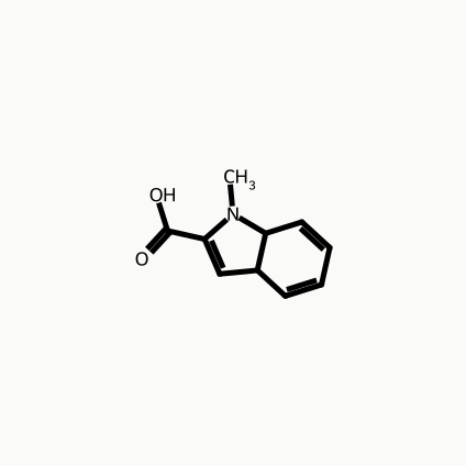 CN1C(C(=O)O)=CC2C=CC=CC21